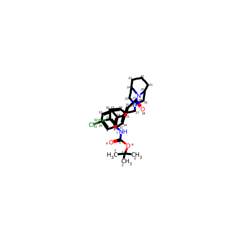 CC(C)(C)OC(=O)Nc1cc(Cl)ccc1C=CC(=O)N1C2CCCC1CN(Cc1ccc(F)cc1)C2